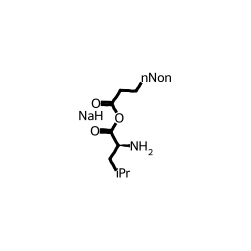 CCCCCCCCCCCC(=O)OC(=O)[C@@H](N)CC(C)C.[NaH]